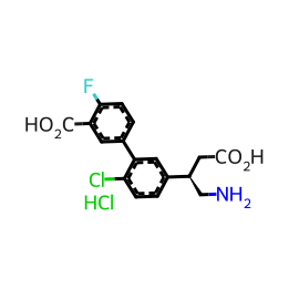 Cl.NC[C@H](CC(=O)O)c1ccc(Cl)c(-c2ccc(F)c(C(=O)O)c2)c1